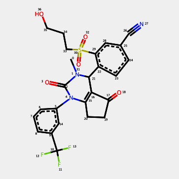 CN1C(=O)N(c2cccc(C(F)(F)F)c2)C2=C(C(=O)CC2)C1c1ccc(C#N)cc1S(=O)(=O)CCCO